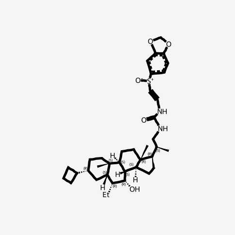 CC[C@H]1[C@@H](O)[C@@H]2[C@H](CC[C@]3(C)[C@@H]([C@H](C)CNC(=O)NC#C[S+]([O-])c4ccc5c(c4)OCO5)CC[C@@H]23)[C@@]2(C)CC[C@@H](C3CCC3)C[C@@H]12